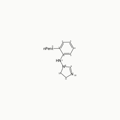 CCCCCc1ccccc1NN1C=NCC1